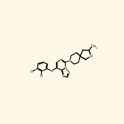 CC1CC2(CCN(c3ncc(Sc4cccc(Cl)c4Cl)c4ncnn34)CC2)CO1